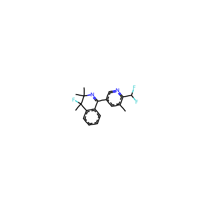 Cc1cc(C2=NC(C)(C)C(C)(F)c3ccccc32)cnc1C(F)F